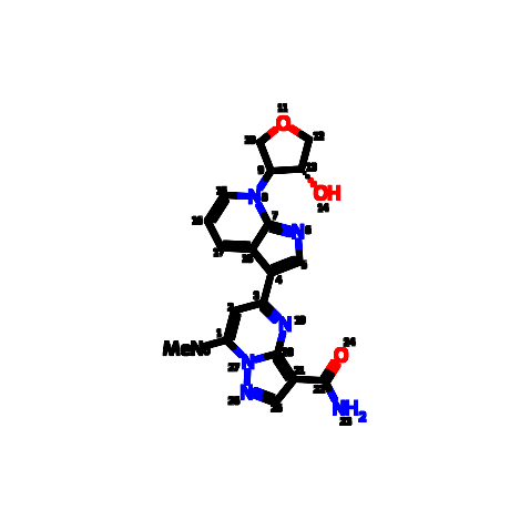 CNc1cc(-c2cnc3n(C4COC[C@@H]4O)cccc2-3)nc2c(C(N)=O)cnn12